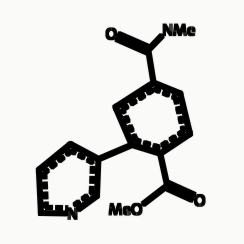 CNC(=O)c1ccc(C(=O)OC)c(-c2cccnc2)c1